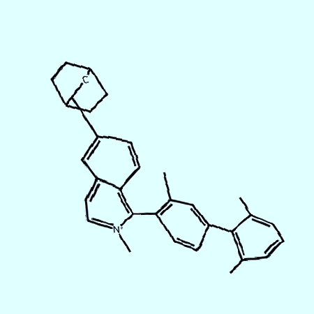 Cc1cc(-c2c(C)cccc2C)ccc1-c1c2ccc(C3CC4CCC3CC4)cc2cc[n+]1C